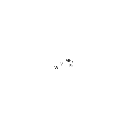 [AlH3].[Fe].[V].[W]